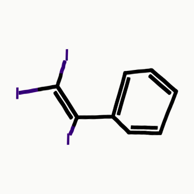 IC(I)=C(I)c1ccccc1